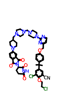 CC(C)(c1ccc(OCc2ccnc(N3CCN(CN4CCN(CC5CCN(c6ccc7c(c6)C(=O)N(C6CCC(=O)NC6=O)C7=O)CC5)CC4)CC3)n2)cc1)c1cc(Cl)c(OCCCl)c(C#N)c1